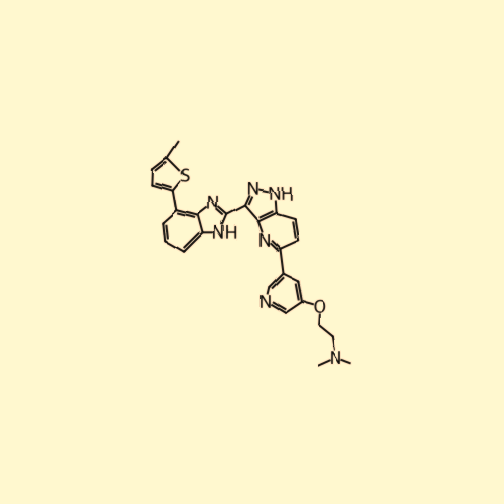 Cc1ccc(-c2cccc3[nH]c(-c4n[nH]c5ccc(-c6cncc(OCCN(C)C)c6)nc45)nc23)s1